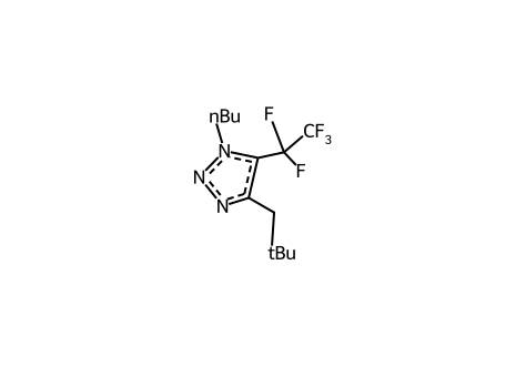 CCCCn1nnc(CC(C)(C)C)c1C(F)(F)C(F)(F)F